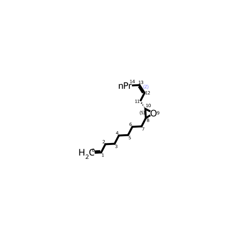 C=CCCCCCCC1O[C@H]1C/C=C\CCC